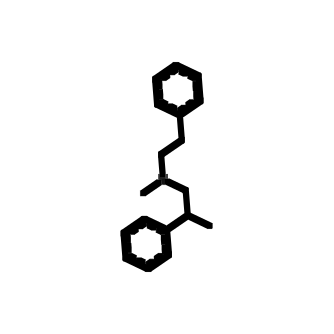 CC(CN(C)CCc1ccccc1)c1ccccc1